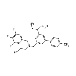 CC(C)CCN(Cc1cc(-c2ccc(C(F)(F)F)cc2)cc(C(CC(C)C)C(=O)O)c1)Cc1cc(F)c(F)c(F)c1